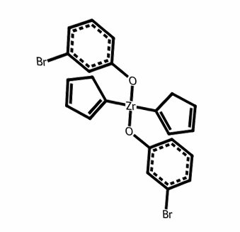 Brc1cccc([O][Zr]([O]c2cccc(Br)c2)([C]2=CC=CC2)[C]2=CC=CC2)c1